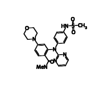 CNC(=O)c1ccc(N2CCOCC2)cc1N(c1ccc(NS(C)(=O)=O)cc1)c1ncccn1